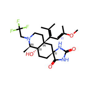 CO/C(C)=C/C(=C(C)C)[C@]12CCN(CC(F)(F)F)[C@H](C)[C@]1(O)CC[C@@]1(C2)NC(=O)NC1=O